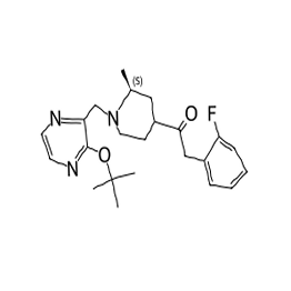 C[C@H]1CC(C(=O)Cc2ccccc2F)CCN1Cc1nccnc1OC(C)(C)C